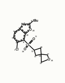 CC(C)(C)c1nc2ccc(Cl)c(S(=O)(=O)C3CC4(COC4)C3)c2o1